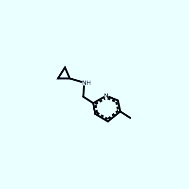 Cc1ccc(CNC2CC2)nc1